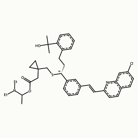 CCN(CC)C(C)OC(=O)CC1(CS[C@H](CCc2ccccc2C(C)(C)O)c2cccc(C=Cc3ccc4ccc(Cl)cc4n3)c2)CC1